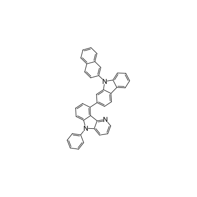 c1ccc(-n2c3cccnc3c3c(-c4ccc5c6ccccc6n(-c6ccc7ccccc7c6)c5c4)cccc32)cc1